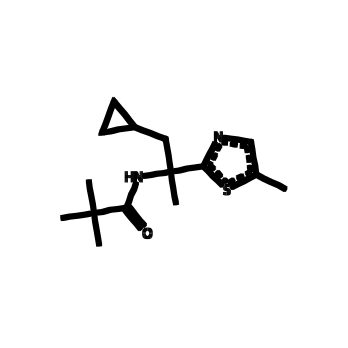 Cc1cnc(C(C)(CC2CC2)NC(=O)C(C)(C)C)s1